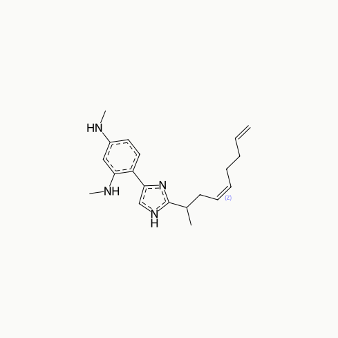 C=CCC/C=C\CC(C)c1nc(-c2ccc(NC)cc2NC)c[nH]1